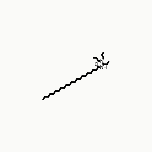 CCCCCCCCCCCCCCCCCCCCCC(=O)NC(CC)N(CCC)CCC